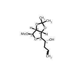 C=CC[C@@H](O)[C@H]1O[C@@H](OC)[C@@H]2OC(C)(C)O[C@@H]21